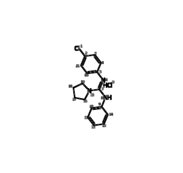 Cl.Clc1ccc(N=C(Nc2ccccc2)N2CCCC2)cc1